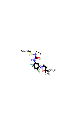 CNCSN(C)C(=O)Nc1cc(N2CCC(C)(C(=O)O)O2)c(Cl)cc1F